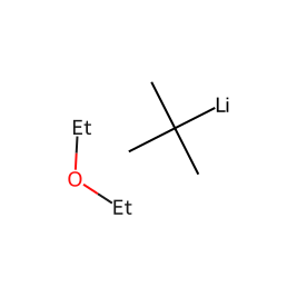 CCOCC.[Li][C](C)(C)C